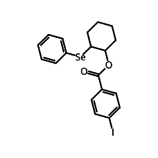 O=C(OC1CCCCC1[Se]c1ccccc1)c1ccc(I)cc1